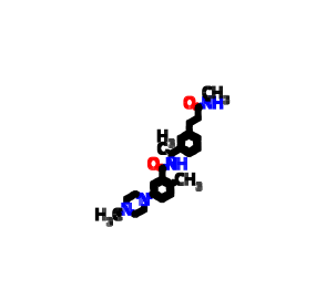 CNC(=O)CCc1cccc([C@@H](C)NC(=O)c2cc(N3CCN(C)CC3)ccc2C)c1